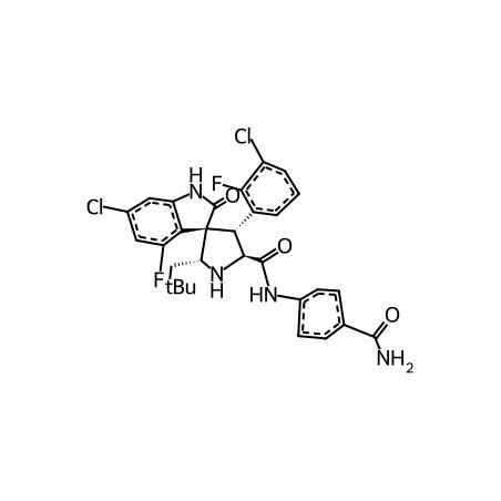 CC(C)(C)C[C@H]1N[C@H](C(=O)Nc2ccc(C(N)=O)cc2)[C@@H](c2cccc(Cl)c2F)[C@@]12C(=O)Nc1cc(Cl)cc(F)c12